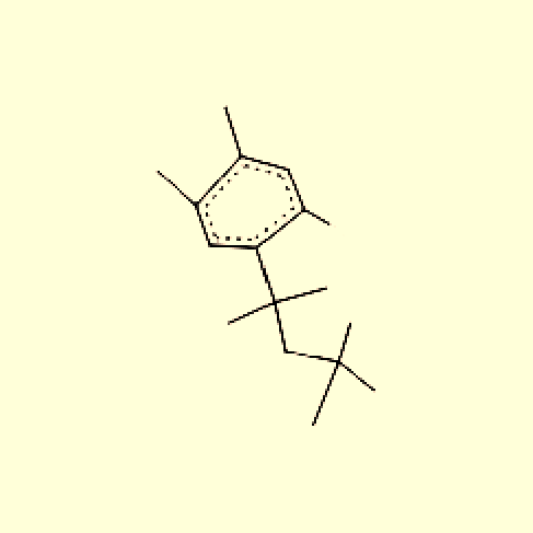 Cc1cc(O)c(C(C)(C)CC(C)(C)C)cc1C